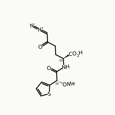 CO[C@@H](C(=O)N[C@@H](CCC(=O)C=[N+]=[N-])C(=O)O)c1cccs1